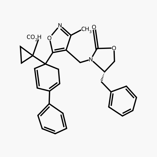 Cc1noc(C2(C3(C(=O)O)CC3)C=CC(c3ccccc3)=CC2)c1CN1C(=O)OC[C@@H]1Cc1ccccc1